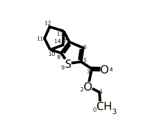 CCOC(=O)c1cc2c(s1)C1CCC2C1